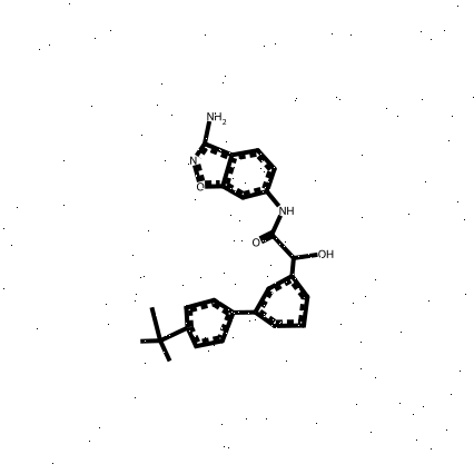 CC(C)(C)c1ccc(-c2cccc(C(O)C(=O)Nc3ccc4c(N)noc4c3)c2)cc1